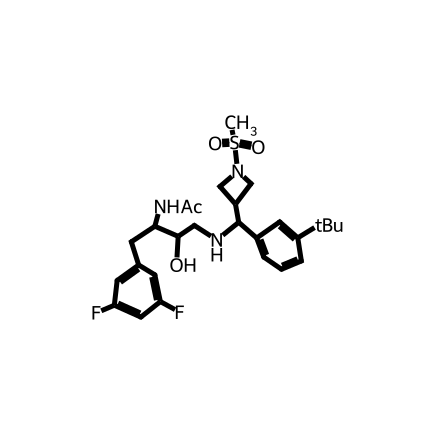 CC(=O)NC(Cc1cc(F)cc(F)c1)C(O)CNC(c1cccc(C(C)(C)C)c1)C1CN(S(C)(=O)=O)C1